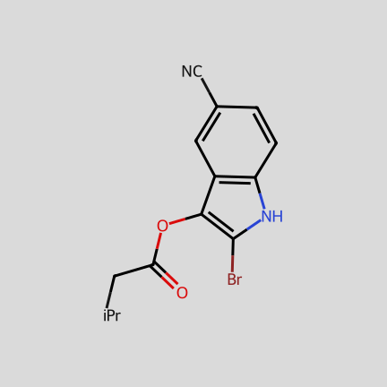 CC(C)CC(=O)Oc1c(Br)[nH]c2ccc(C#N)cc12